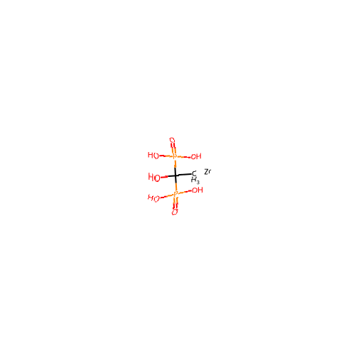 CC(O)(P(=O)(O)O)P(=O)(O)O.[Zr]